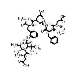 COC(=O)C(Cc1ccccc1)NC(=O)C(N)CC(=O)O.COC(=O)[C@H](Cc1ccccc1)NC(=O)[C@@H](N)CC(=O)O.C[C@H](C(N)=O)N(C(=O)[C@@H](N)CC(=O)O)C1C(C)(C)SC1(C)C.O